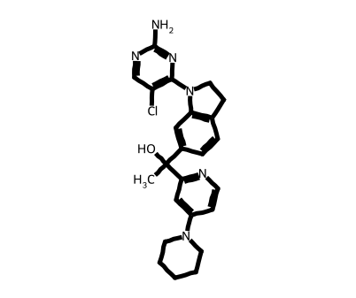 CC(O)(c1ccc2c(c1)N(c1nc(N)ncc1Cl)CC2)c1cc(N2CCCCC2)ccn1